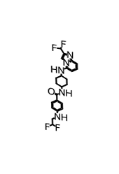 O=C(NC1CCC(Nc2cccc3nc(C(F)F)cn23)CC1)c1ccc(NCC(F)F)cc1